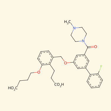 CN1CCN(C(=O)c2cc(OCc3cccc(OCCCC(=O)O)c3CCC(=O)O)cc(-c3ccccc3F)c2)CC1